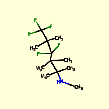 CNC(C)(C)C(C)(C)C(F)(F)C(C)(C)C(F)(F)F